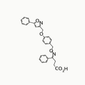 O=C(O)CCC(=NOCc1ccc(OCc2cc(-c3ccccc3)on2)cc1)c1ccccc1